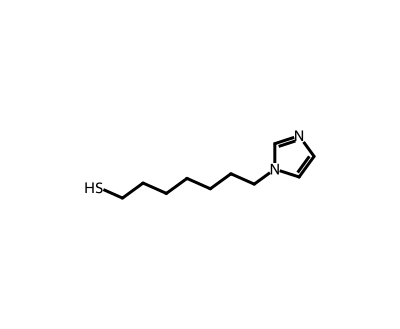 SCCCCCCCn1ccnc1